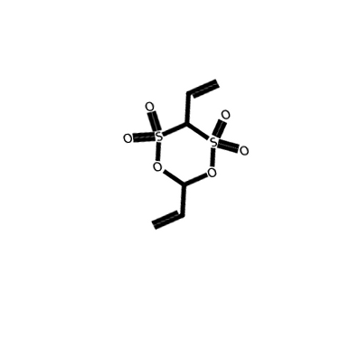 C=CC1OS(=O)(=O)C(C=C)S(=O)(=O)O1